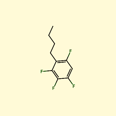 CCCCc1c(F)cc(F)c(F)c1F